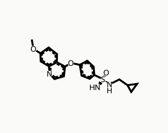 COc1ccc2c(Oc3ccc([S@](=N)(=O)NCC4CC4)cc3)ccnc2c1